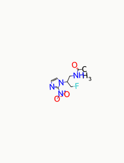 CC(=O)NCC(CF)n1ccnc1[N+](=O)[O-]